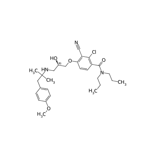 CCCN(CCC)C(=O)c1ccc(OC[C@H](O)CNC(C)(C)Cc2ccc(OC)cc2)c(C#N)c1Cl